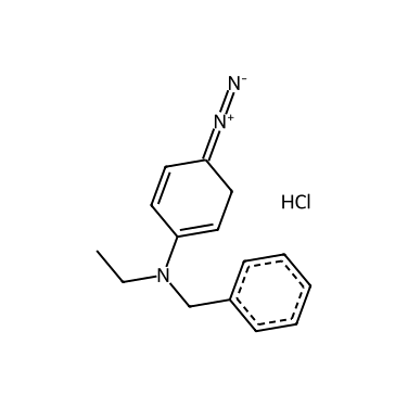 CCN(Cc1ccccc1)C1=CCC(=[N+]=[N-])C=C1.Cl